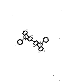 c1ccc(-n2c3ccsc3c3sc(-c4cc5c(s4)c4sccc4n5-c4ccccc4)cc32)cc1